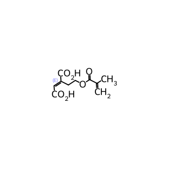 C=C(C)C(=O)OCC/C(=C\C(=O)O)C(=O)O